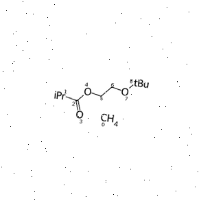 C.CC(C)C(=O)OCCOC(C)(C)C